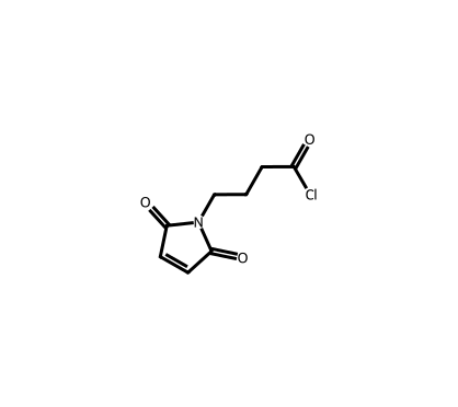 O=C(Cl)CCCN1C(=O)C=CC1=O